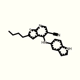 CCCCc1cc2c(Nc3ccc4[nH]ccc4c3)c(C#N)cnc2s1